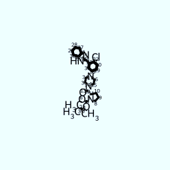 CC(C)(C)OC(=O)N1CCC[C@H]1C(=O)N1CCN(c2ccc(Cl)c(-c3nc4ccccc4[nH]3)c2)CC1